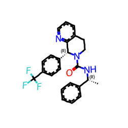 C[C@@H](NC(=O)N1CCc2cccnc2[C@H]1c1ccc(C(F)(F)F)cc1)c1ccccc1